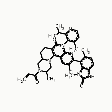 C=CC(=O)N1CC2CCc3c(c4cc(Cl)c(-c5c(C)ccc6[nH]c(=O)n(C)c56)nc4n(-c4c(C)ccnc4C(C)C)c3=O)N2CC1C